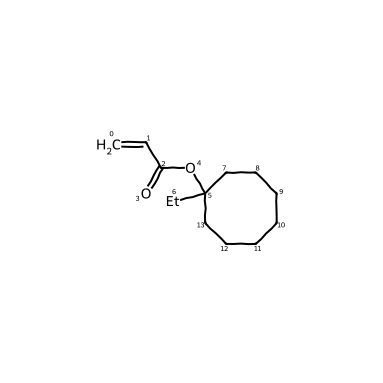 C=CC(=O)OC1(CC)CCCCCCC1